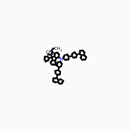 C=C/C(=C\C=C/C)C1(c2ccccc2)c2ccccc2-c2c(N(c3ccc(-c4ccc(-c5cccc6ccccc56)cc4)cc3)c3ccc(-c4ccc(-c5cccc6ccccc56)cc4)cc3)cccc21